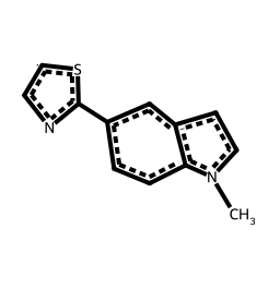 Cn1ccc2cc(-c3nc[c]s3)ccc21